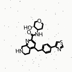 O=C(N[C@@H]1CCOC[C@H]1O)c1cc(Cc2ccc(-c3cscn3)cc2)c2c(n1)CNCC2